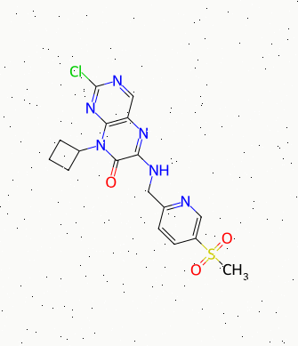 CS(=O)(=O)c1ccc(CNc2nc3cnc(Cl)nc3n(C3CCC3)c2=O)nc1